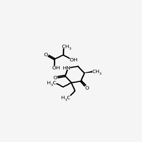 CC(O)C(=O)O.CCC1(CC)C(=O)NC[C@@H](C)C1=O